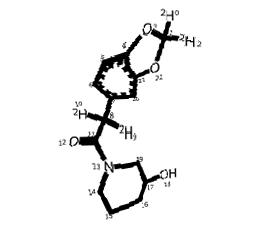 [2H]C1([2H])Oc2ccc(C([2H])([2H])C(=O)N3CCCC(O)C3)cc2O1